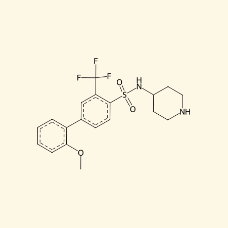 COc1ccccc1-c1ccc(S(=O)(=O)NC2CCNCC2)c(C(F)(F)F)c1